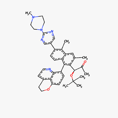 CC(=O)[C@@H](OC(C)(C)C)c1c(C)cc2c(C)c(-c3cnc(N4CCN(C)CC4)nc3)ccc2c1-c1ccc2c3c(ccnc13)CCO2